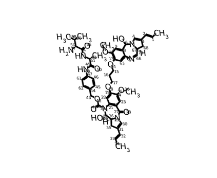 C/C=C/C1=CN2C(O)c3cc(OC)c(OCCCOc4cc5c(cc4OC)C(=O)N4C=C(/C=C/C)C[C@H]4[C@H](O)N5C(=O)OCc4ccc(NC(=O)[C@H](C)NC(=O)[C@@H](N)C(C)C)cc4)cc3N=C[C@@H]2C1